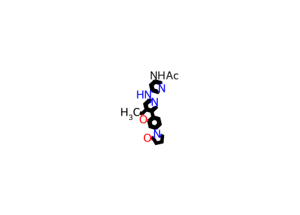 CC(=O)Nc1cncc(Nc2cc3c(cn2)-c2ccc(N4CCCC4=O)cc2OC3C)c1